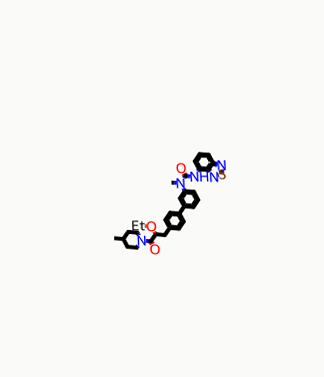 CCOC(Cc1ccc(-c2cccc(N(C)C(=O)Nc3cccc4nsnc34)c2)cc1)C(=O)N1CCC(C)CC1